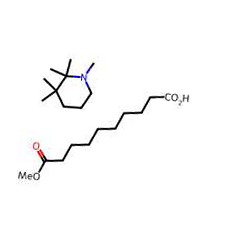 CN1CCCC(C)(C)C1(C)C.COC(=O)CCCCCCCCC(=O)O